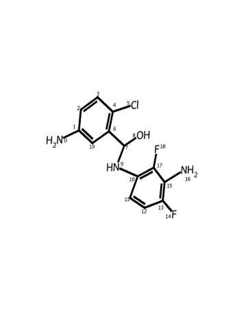 Nc1ccc(Cl)c(C(O)Nc2ccc(F)c(N)c2F)c1